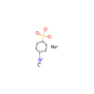 [C-]#[N+]c1ccc(S(=O)(=O)[O-])cc1.[Na+]